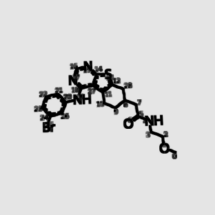 COCCNC(=O)CC1CCc2c(sc3ncnc(Nc4cccc(Br)c4)c23)C1